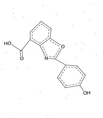 O=C(O)c1cccc2oc(-c3ccc(O)cc3)nc12